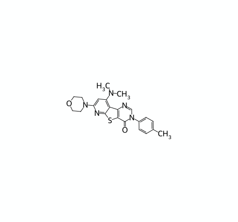 Cc1ccc(-n2cnc3c(sc4nc(N5CCOCC5)cc(N(C)C)c43)c2=O)cc1